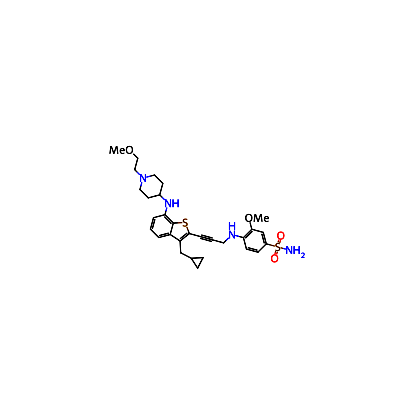 COCCN1CCC(Nc2cccc3c(CC4CC4)c(C#CCNc4ccc(S(N)(=O)=O)cc4OC)sc23)CC1